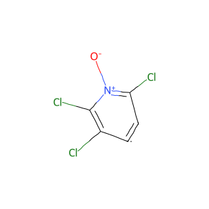 [O-][n+]1c(Cl)c[c]c(Cl)c1Cl